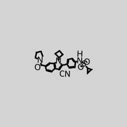 N#Cc1c(-c2ccc(NS(=O)(=O)C3CC3)cc2)n(C2CCC2)c2cc(C(=O)N3CCCC3)ccc12